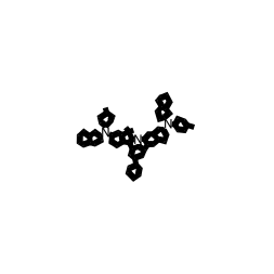 Cc1ccc(N(c2ccc3c(c2)C(C)(C)c2c-3c3cc(-c4ccccc4)cc4c5cc6ccc(N(c7ccc(C)cc7)c7ccc8ccccc8c7)cc6cc5n2c34)c2ccc3ccccc3c2)cc1